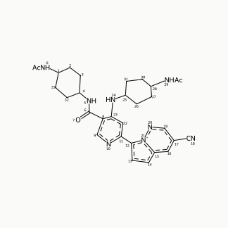 CC(=O)NC1CCC(NC(=O)c2cnc(-c3ccc4cc(C#N)cnn34)cc2NC2CCC(NC(C)=O)CC2)CC1